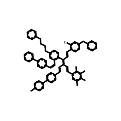 CCc1cc(Cc2ccccc2)ccc1C=CC(=C(C=Cc1ccc(-c2ccc(C)cc2)cc1)C=Cc1cc(C)c(C)c(C)c1C)c1ccc(CCCCc2ccccc2)cc1C=Cc1ccc(-c2ccccc2)cc1